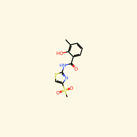 Cc1cccc(C(=O)Nc2nc(S(C)(=O)=O)cs2)c1O